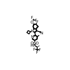 Cc1cc(S(=O)(=O)N[C@@H](C)C(F)(F)F)cnc1-c1c(C#N)c2cc(F)c(OC(F)F)cc2n1C1CCC1